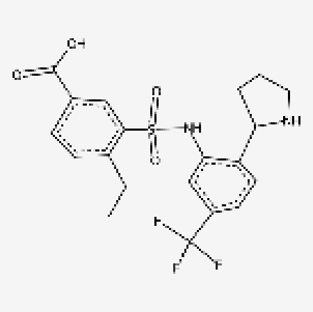 CCc1ccc(C(=O)O)cc1S(=O)(=O)Nc1cc(C(F)(F)F)ccc1C1CCCN1